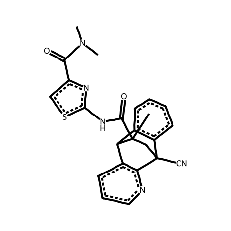 CN(C)C(=O)c1csc(NC(=O)C2(C)CC3(C#N)c4ccccc4C2c2cccnc23)n1